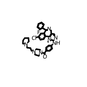 CN1C2=C(C=NC1Nc1ccc(C(=O)N3CCN(CCCN4CCCCC4)CC3)cc1)CN=C(c1ccccc1F)c1cc(Cl)ccc12